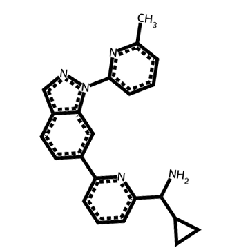 Cc1cccc(-n2ncc3ccc(-c4cccc(C(N)C5CC5)n4)cc32)n1